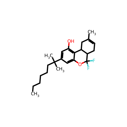 CCCCCCC(C)(C)c1cc(O)c2c(c1)OC(F)(F)C1CC=C(C)CC21